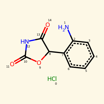 Cl.Nc1ccccc1C1OC(=O)NC1=O